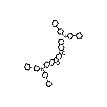 c1ccc(-c2ccc(N(c3ccc(-c4ccccc4)cc3)c3ccc4cc5c(cc4c3)oc3cc4oc6cc7cc(N(c8ccc(-c9ccccc9)cc8)c8ccc(-c9ccccc9)cc8)ccc7cc6c4cc35)cc2)cc1